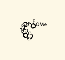 COc1cccc(CN2CCOC(C(=O)N(Cc3ccc4c(c3)OCCCO4)CC(C)C)C2)c1F